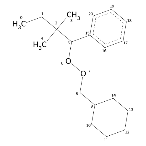 CCC(C)(C)C(OOCC1CCCCC1)c1ccccc1